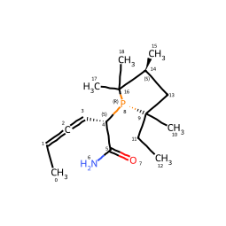 CC=C=C[C@@H](C(N)=O)[P@@]1C(C)(CC)C[C@H](C)C1(C)C